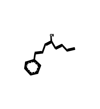 C=CC=CC(C#N)=CC=Cc1ccccc1